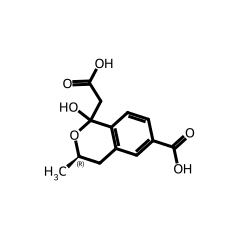 C[C@@H]1Cc2cc(C(=O)O)ccc2C(O)(CC(=O)O)O1